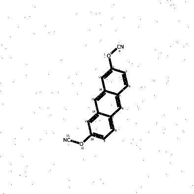 N#COc1ccc2cc3ccc(OC#N)cc3cc2c1